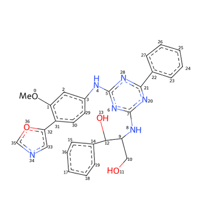 COc1cc(Nc2nc(NC(CO)C(O)c3ccccc3)nc(-c3ccccc3)n2)ccc1-c1cnco1